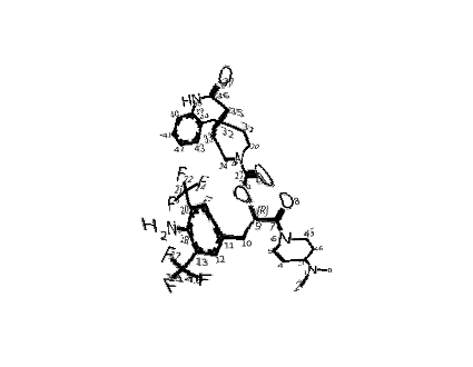 CN(C)C1CCN(C(=O)[C@@H](Cc2cc(C(F)(F)F)c(N)c(C(F)(F)F)c2)OC(=O)N2CCC3(CC2)CC(=O)Nc2ccccc23)CC1